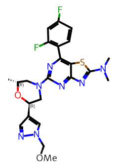 COCn1cc([C@@H]2CN(c3nc(-c4ccc(F)cc4F)c4sc(N(C)C)nc4n3)C[C@@H](C)O2)cn1